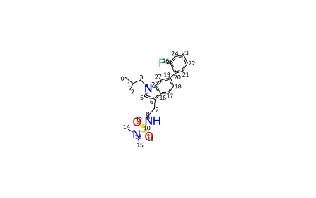 CC(C)Cn1cc(CCNS(=O)(=O)N(C)C)c2ccc(-c3ccccc3F)cc21